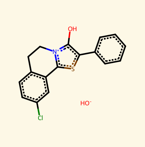 Oc1c(-c2ccccc2)sc2[n+]1CCc1ccc(Cl)cc1-2.[OH-]